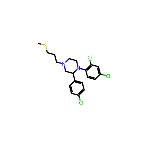 CSCCCN1CCN(c2ccc(Cl)cc2Cl)C(c2ccc(Cl)cc2)C1